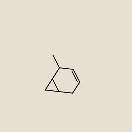 [CH2]C1C=CCC2CC12